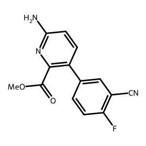 COC(=O)c1nc(N)ccc1-c1ccc(F)c(C#N)c1